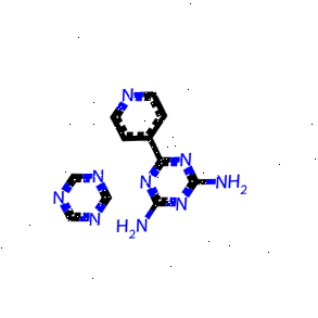 Nc1nc(N)nc(-c2ccncc2)n1.c1ncncn1